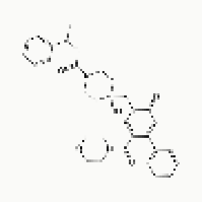 CC(CC(=O)N1CCC(O)(Cn2cc(C(=O)N3CCOCC3)c(-c3ccccc3)cc2=O)CC1)c1ccccc1